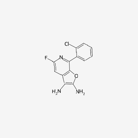 Nc1oc2c(-c3ccccc3Cl)nc(F)cc2c1N